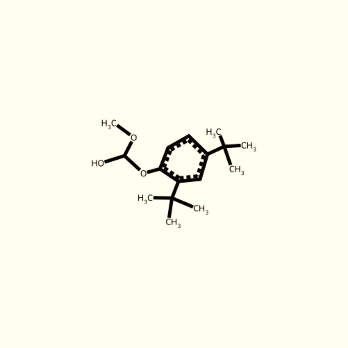 COC(O)Oc1ccc(C(C)(C)C)cc1C(C)(C)C